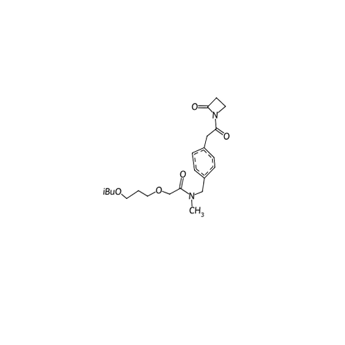 CC(C)COCCCOCC(=O)N(C)Cc1ccc(CC(=O)N2CCC2=O)cc1